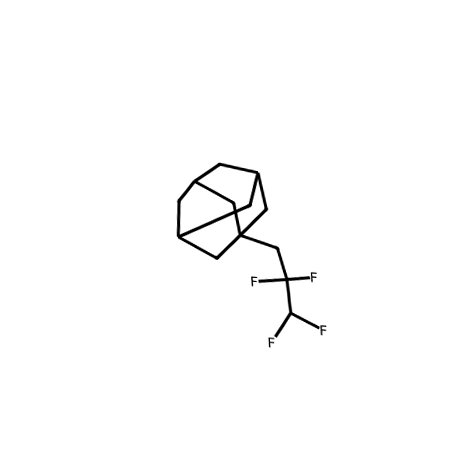 FC(F)C(F)(F)CC12CC3CC(CC(C3)C1)C2